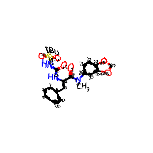 CN(C(=O)C(Cc1ccccc1)NC(=O)NS(=O)(=O)C(C)(C)C)c1ccc2c(c1)OCO2